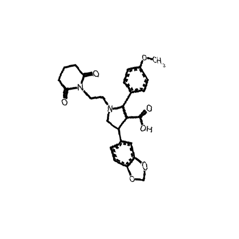 COc1ccc(C2C(C(=O)O)C(c3ccc4c(c3)OCO4)CN2CCN2C(=O)CCCC2=O)cc1